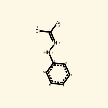 CC(=O)/C(Cl)=N/Nc1ccccc1